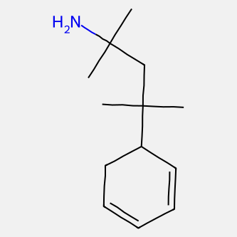 CC(C)(N)CC(C)(C)C1C=CC=CC1